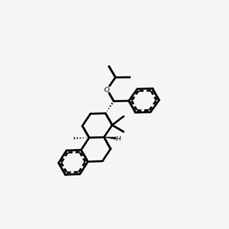 CC(C)OC(c1ccccc1)[C@H]1CC[C@]2(C)c3ccccc3CC[C@H]2C1(C)C